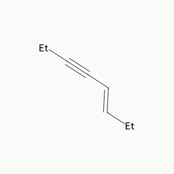 CCC#CC=CCC